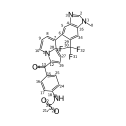 Cn1cnc2cc(-c3cccn4c(C(=O)c5ccc(NS(C)(=O)=O)cc5)ccc34)c(C(F)(F)F)cc21